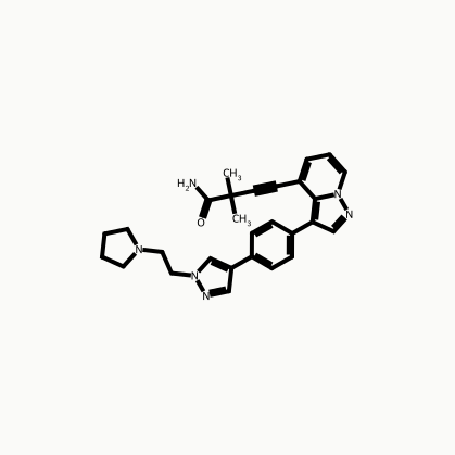 CC(C)(C#Cc1cccn2ncc(-c3ccc(-c4cnn(CCN5CCCC5)c4)cc3)c12)C(N)=O